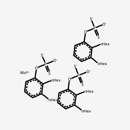 CCCCCCc1cccc(OP([O-])(=S)[S-])c1CCCCCC.CCCCCCc1cccc(OP([O-])(=S)[S-])c1CCCCCC.CCCCCCc1cccc(OP([O-])(=S)[S-])c1CCCCCC.[Mo+6]